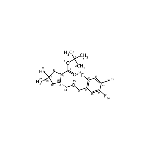 CC(C)(C)OC(=O)N1C[C@@](C)(S)C[C@H]1COCc1cc(F)c(F)cc1F